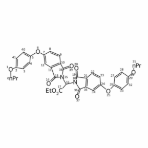 CCCOc1ccc(Oc2ccc3c(c2)C(=O)N(C(C(=O)OCC)N2C(=O)c4ccc(Oc5ccc(OCCC)cc5)cc4C2=O)C3=O)cc1